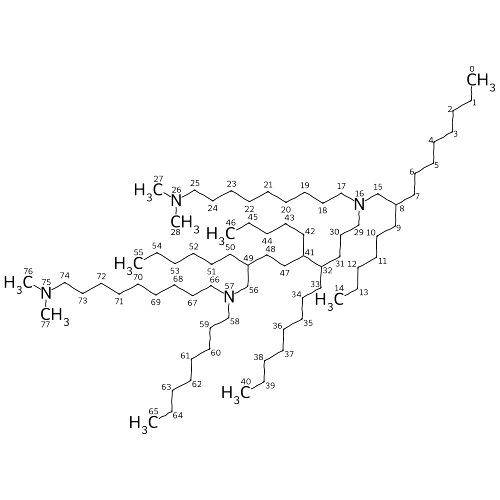 CCCCCCCCC(CCCCCC)CN(CCCCCCCCCN(C)C)CCCC(CCCCCCCC)C(CCCCC)CCC(CCCCCC)CN(CCCCCCCC)CCCCCCCCCN(C)C